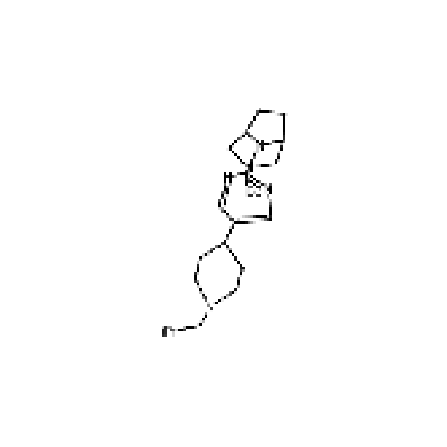 CCC(C)N1CC2CCC(C1)N2c1ncc(C2CCN(CC(C)C)CC2)cn1